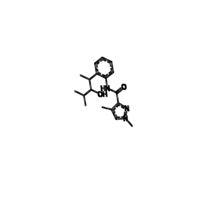 Cc1cn(C)nc1C(=O)Nc1ccccc1C(C)C(O)C(C)C